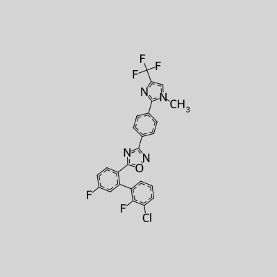 Cn1cc(C(F)(F)F)nc1-c1ccc(-c2noc(-c3ccc(F)cc3-c3cccc(Cl)c3F)n2)cc1